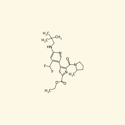 CCOC(=O)c1nc(C(=O)N2CCCC2C)c(-c2cnc(NCC(C)(C)C)cc2C(F)F)s1